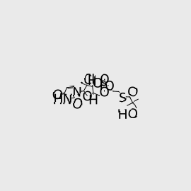 CC(C)(CO)C(=O)SCCO[P@]1(=O)OC[C@H]2O[C@@H](n3ccc(=O)[nH]c3=O)[C@](C)(Cl)[C@@H]2O1